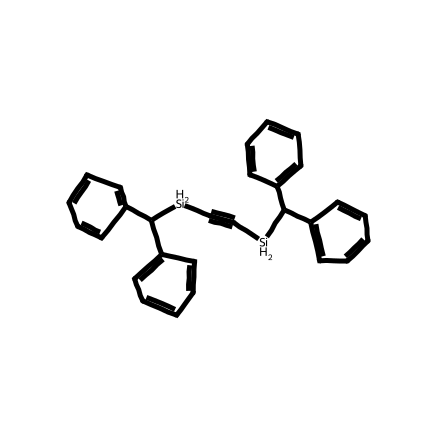 C(#C[SiH2]C(c1ccccc1)c1ccccc1)[SiH2]C(c1ccccc1)c1ccccc1